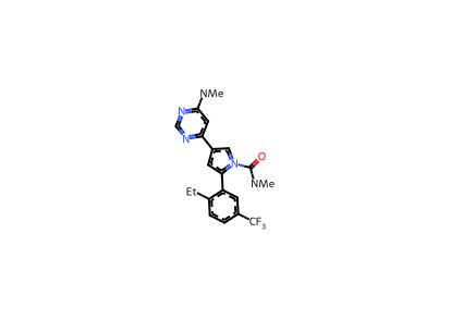 CCc1ccc(C(F)(F)F)cc1-c1cc(-c2cc(NC)ncn2)cn1C(=O)NC